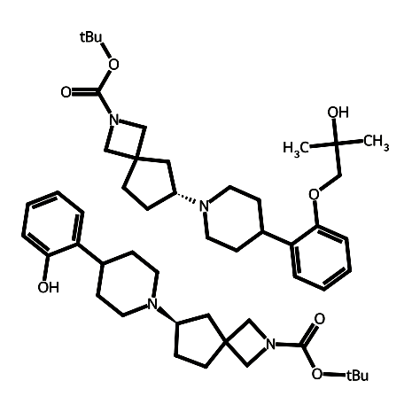 CC(C)(C)OC(=O)N1CC2(CC[C@@H](N3CCC(c4ccccc4O)CC3)C2)C1.CC(C)(O)COc1ccccc1C1CCN([C@@H]2CCC3(C2)CN(C(=O)OC(C)(C)C)C3)CC1